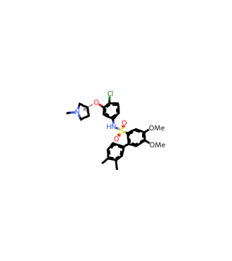 COc1cc(-c2ccc(C)c(C)c2)c(S(=O)(=O)Nc2ccc(Cl)c(O[C@@H]3CCN(C)C3)c2)cc1OC